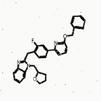 Fc1cc(-c2cccc(OCc3ccccc3)n2)ccc1Cc1nc2ccccc2n1CC1CCCO1